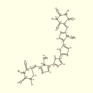 CCCn1c(C=C2C(=O)N(C)C(=O)N(C)C2=O)ccc1-c1ccc(-c2ccc(-c3ccc(/C=C4\CN(C)C(=O)N(C)C4=O)n3CCC)s2)s1